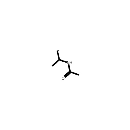 [CH2]C([CH2])NC(C)=O